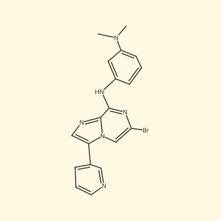 CN(C)c1cccc(Nc2nc(Br)cn3c(-c4cccnc4)cnc23)c1